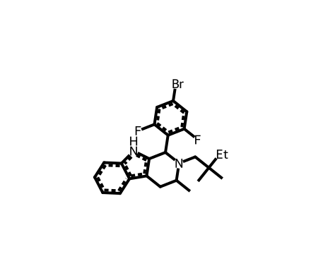 CCC(C)(C)CN1C(C)Cc2c([nH]c3ccccc23)C1c1c(F)cc(Br)cc1F